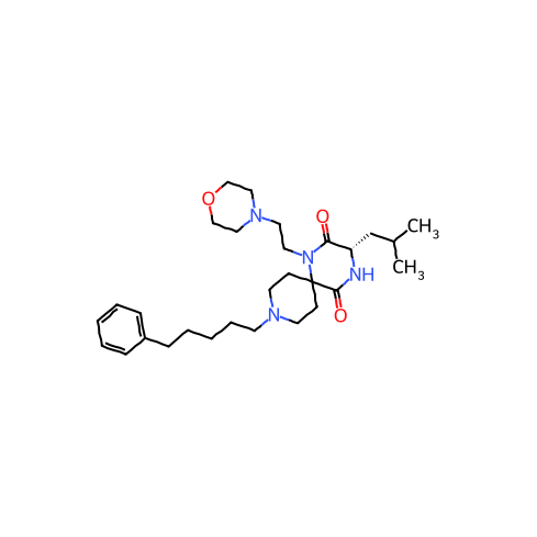 CC(C)C[C@@H]1NC(=O)C2(CCN(CCCCCc3ccccc3)CC2)N(CCN2CCOCC2)C1=O